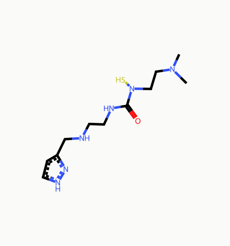 CN(C)CCN(S)C(=O)NCCNCc1cc[nH]n1